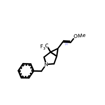 CO/C=C/C1C2CN(Cc3ccccc3)CC12C(F)(F)F